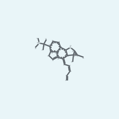 C=C/C=C\C=c1/c2c(c3ccc(C(C)(C)N(C)C)c4c3c1=CC4)SC1=C(C)C12C